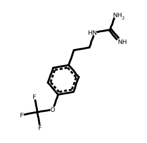 N=C(N)NCCc1ccc(OC(F)(F)F)cc1